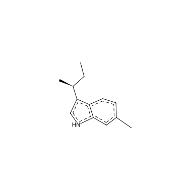 CC[C@H](C)c1c[nH]c2cc(C)ccc12